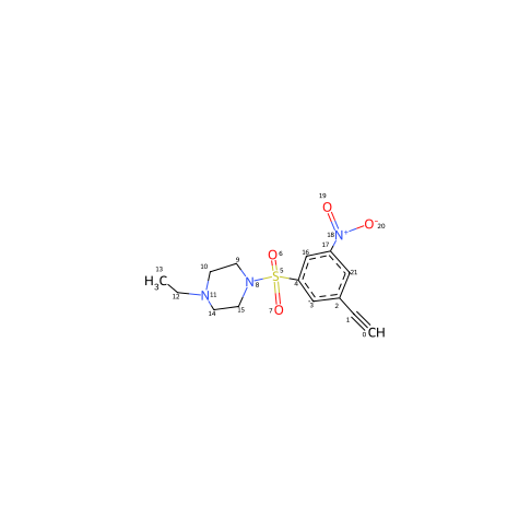 C#Cc1[c]c(S(=O)(=O)N2CCN(CC)CC2)cc([N+](=O)[O-])c1